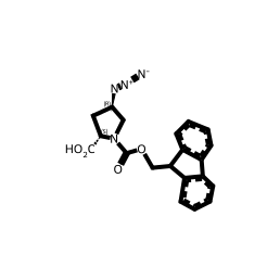 [N-]=[N+]=N[C@@H]1C[C@@H](C(=O)O)N(C(=O)OCC2c3ccccc3-c3ccccc32)C1